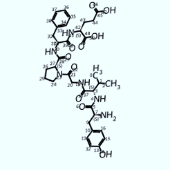 CC(C)[C@H](NC(=O)[C@@H](N)Cc1ccc(O)cc1)C(=O)NCC(=O)N1CCC[C@H]1C(=O)N[C@@H](Cc1ccccc1)C(=O)N[C@@H](CCC(=O)O)C(=O)O